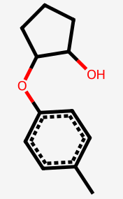 Cc1ccc(OC2CCCC2O)cc1